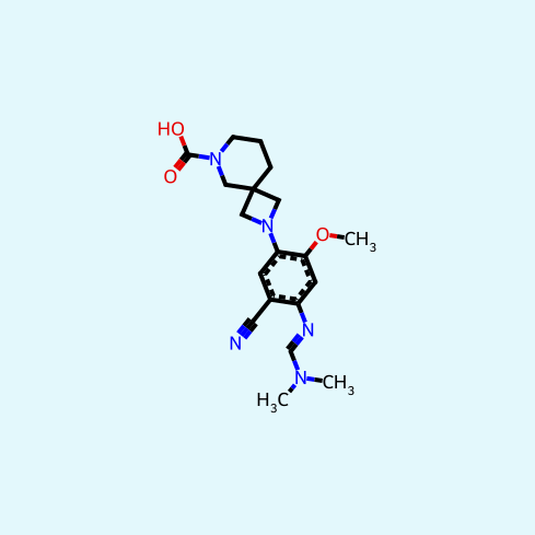 COc1cc(N=CN(C)C)c(C#N)cc1N1CC2(CCCN(C(=O)O)C2)C1